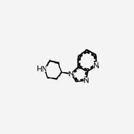 c1cnc2ncn(C3CCNCC3)c2c1